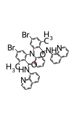 Cc1cc(Br)cc(N(c2ccccc2)c2cc(Br)cc(C)c2C(=O)Nc2cccc3cccnc23)c1C(=O)Nc1cccc2cccnc12